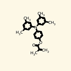 C=C(C)C(=O)Oc1ccc(N(c2cc(C)cc(C)c2)c2cc(C)cc(C)c2)cc1